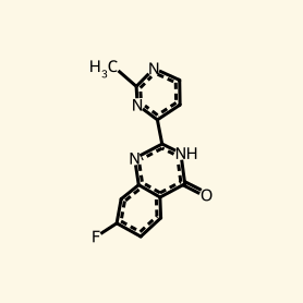 Cc1nccc(-c2nc3cc(F)ccc3c(=O)[nH]2)n1